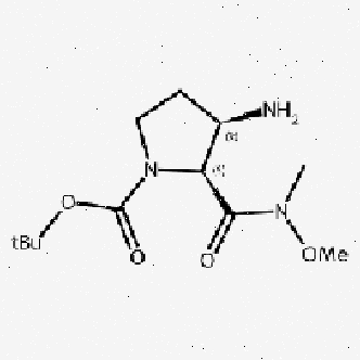 CON(C)C(=O)[C@@H]1[C@H](N)CCN1C(=O)OC(C)(C)C